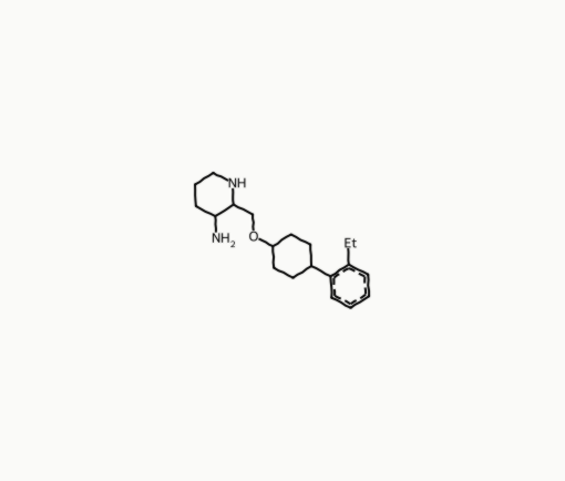 CCc1ccccc1C1CCC(OCC2NCCCC2N)CC1